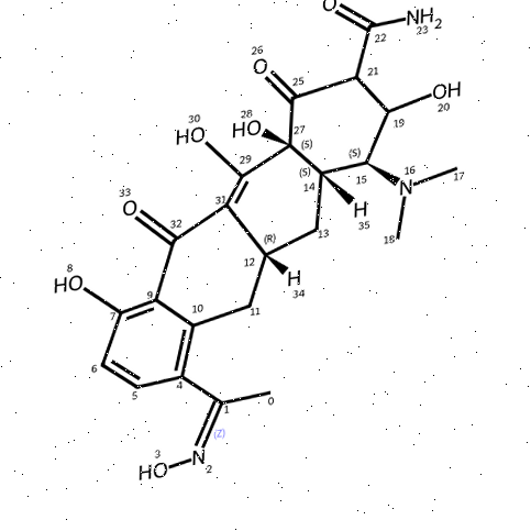 C/C(=N/O)c1ccc(O)c2c1C[C@H]1C[C@H]3[C@H](N(C)C)C(O)C(C(N)=O)C(=O)[C@@]3(O)C(O)=C1C2=O